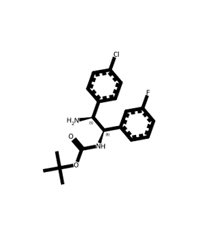 CC(C)(C)OC(=O)N[C@H](c1cccc(F)c1)[C@@H](N)c1ccc(Cl)cc1